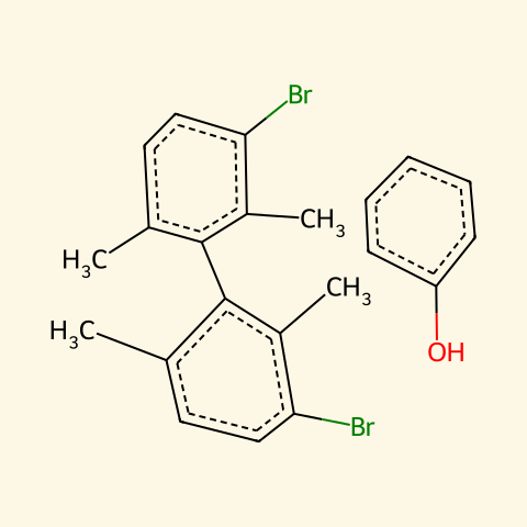 Cc1ccc(Br)c(C)c1-c1c(C)ccc(Br)c1C.Oc1ccccc1